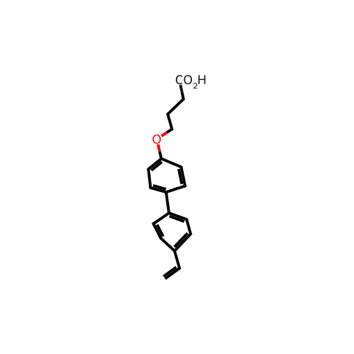 C=Cc1ccc(-c2ccc(OCCCC(=O)O)cc2)cc1